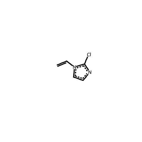 C=Cn1ccnc1Cl